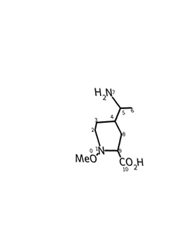 CON1CCC(C(C)N)CC1C(=O)O